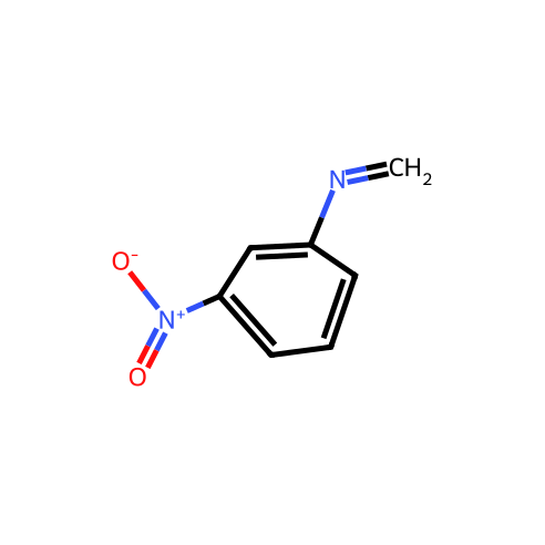 C=Nc1cccc([N+](=O)[O-])c1